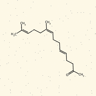 CC(=O)CCC=CCCC=C(C)CCC=C(C)C